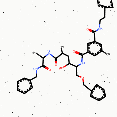 CC(C)C(CC(O)C(COCc1ccccc1)NC(=O)c1cc(C#N)cc(C(=O)NCCc2ccccc2)c1)C(=O)NC(C(=O)NCc1ccccc1)C(C)C